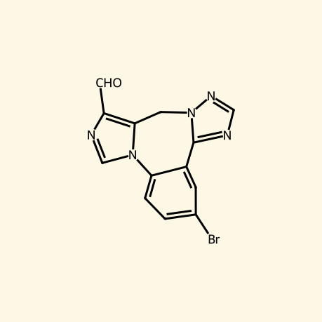 O=Cc1ncn2c1Cn1ncnc1-c1cc(Br)ccc1-2